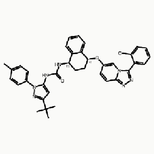 Cc1ccc(-n2nc(C(C)(C)C)cc2NC(=O)N[C@@H]2CC[C@H](Oc3ccc4nnc(-c5ccccc5Cl)n4c3)c3ccccc32)cc1